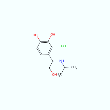 CC(C)NC(CO)c1ccc(O)c(O)c1.Cl